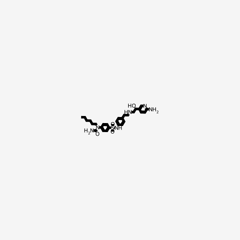 CCCCCCN(C(N)=O)c1ccc(S(=O)(=O)Nc2ccc(CCNC[C@H](O)c3ccc(N)nc3)cc2)cc1